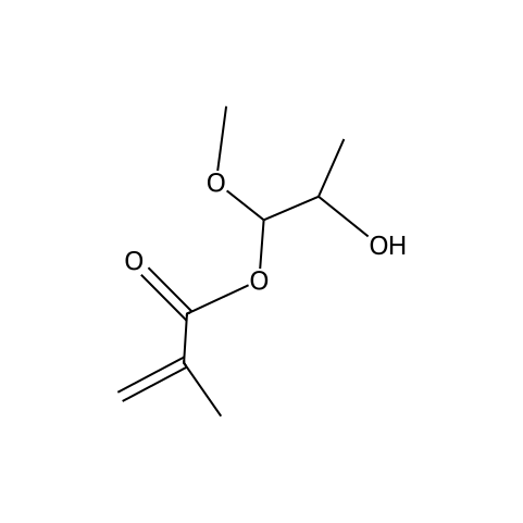 C=C(C)C(=O)OC(OC)C(C)O